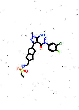 CCS(=O)(=O)NCC1CC2CC(c3nn(C)c(N)c3C(=O)Nc3ccc(F)c(Cl)c3)CC2C1